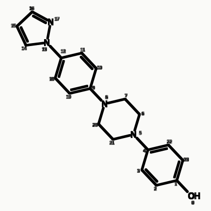 Oc1ccc(N2CCN(c3ccc(-n4cccn4)cc3)CC2)cc1